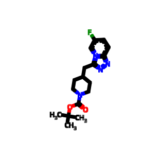 CC(C)(C)OC(=O)N1CCC(Cc2nnc3ccc(F)cn23)CC1